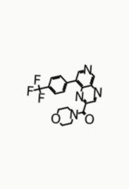 O=C(c1cnc2cncc(-c3ccc(C(F)(F)F)cc3)c2n1)N1CCOCC1